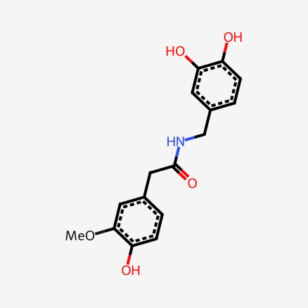 COc1cc(CC(=O)NCc2ccc(O)c(O)c2)ccc1O